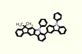 CC1(C)c2ccccc2-c2cc3c4cccc(-c5ccc6c(c5)c5ccccc5n6-c5ccccc5)c4n(-c4ccccc4)c3cc21